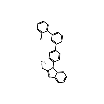 CCc1nc2ccccc2n1-c1ccc(-c2cccc(-c3ccccc3Cl)c2)cc1